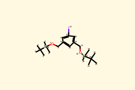 CC(C)(C)[Si](C)(C)OCc1cc(I)cc(CO[Si](C)(C)C(C)(C)C)c1